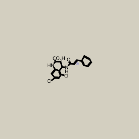 O=C(/C=C/c1ccccc1)NC1CC(C(=O)O)Nc2cc(Cl)cc(Cl)c21